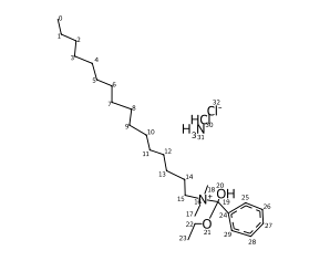 CCCCCCCCCCCCCCCC[N+](C)(C)C(O)(OCC)c1ccccc1.Cl.N.[Cl-]